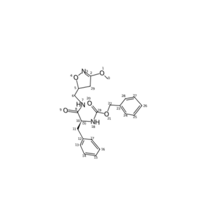 COC1=NOC(CNC(=O)[C@H](Cc2ccccc2)NC(=O)OCc2ccccc2)C1